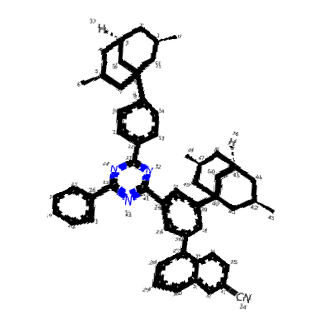 C[C@@H]1C[C@@H]2C[C@H](C)CC(c3ccc(-c4nc(-c5ccccc5)nc(-c5cc(-c6cccc7cc(C#N)ccc67)cc(C67C[C@H](C)C[C@H](C[C@H](C)C6)C7)c5)n4)cc3)(C1)C2